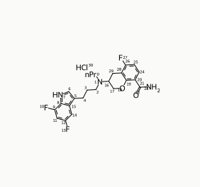 CCCN(CCCc1c[nH]c2c(F)cc(F)cc12)C1COc2c(C(N)=O)ccc(F)c2C1.Cl